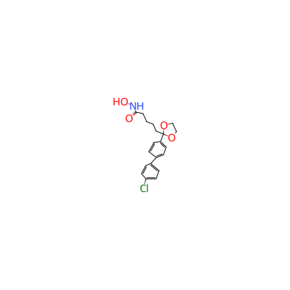 O=C(CCCCC1(c2ccc(-c3ccc(Cl)cc3)cc2)OCCO1)NO